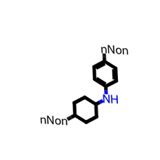 CCCCCCCCCc1ccc(NC2CCC(CCCCCCCCC)CC2)cc1